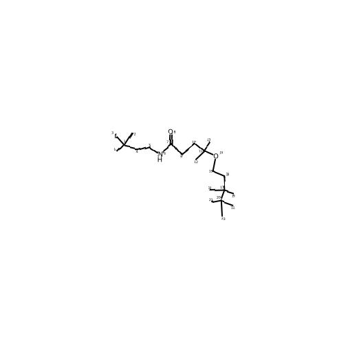 CC(C)(I)CCNC(=O)CCC(C)(C)OCCC(C)(C)C(C)(C)C